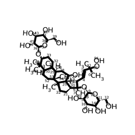 CC(C)(/C=C/C[C@](C)(O[C@@H]1O[C@H](CO)[C@@H](O)[C@H](O)[C@H]1O)[C@H]1CC[C@]2(C)[C@@H]1[C@H](O)C[C@@H]1[C@@]3(C)CC[C@H](O[C@@H]4O[C@H](CO)[C@@H](O)[C@H](O)[C@H]4O)C(C)(C)[C@@H]3CC[C@]12C)OO